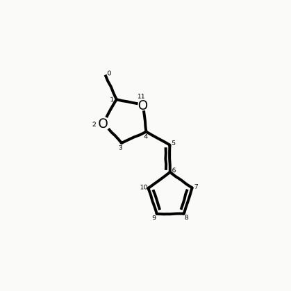 CC1OCC(C=C2C=CC=C2)O1